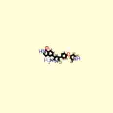 C[C@H]1CC(Oc2ccc(-c3cc(-c4ccc5c(c4)CCNC5=O)c(N)nc3F)cc2)C[C@H](C)N1